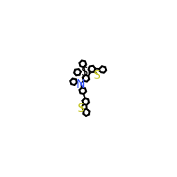 c1ccc(N(c2ccc(-c3ccc4c(c3)sc3ccccc34)cc2)c2ccc3c(c2)[Si](c2ccccc2)(c2ccccc2)c2ccc4c(sc5ccccc54)c2-3)cc1